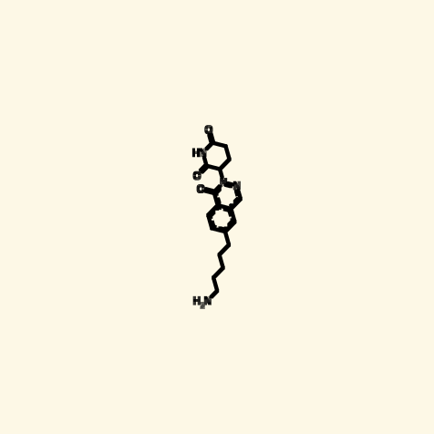 NCCCCCc1ccc2c(=O)n(C3CCC(=O)NC3=O)ncc2c1